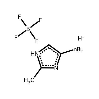 CCCCc1c[nH]c(C)n1.F[B-](F)(F)F.[H+]